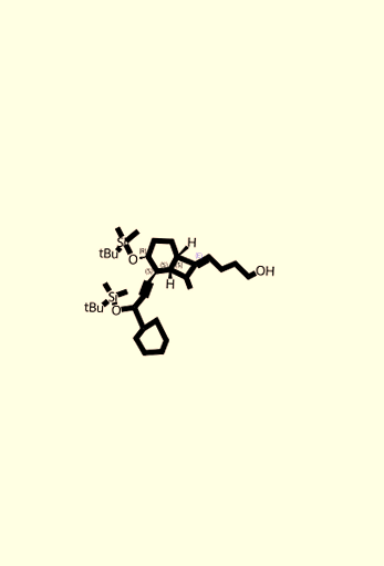 CC1/C(=C\CCCO)[C@H]2CC[C@@H](O[Si](C)(C)C(C)(C)C)[C@H](C#CC(O[Si](C)(C)C(C)(C)C)C3CCCCC3)[C@@H]12